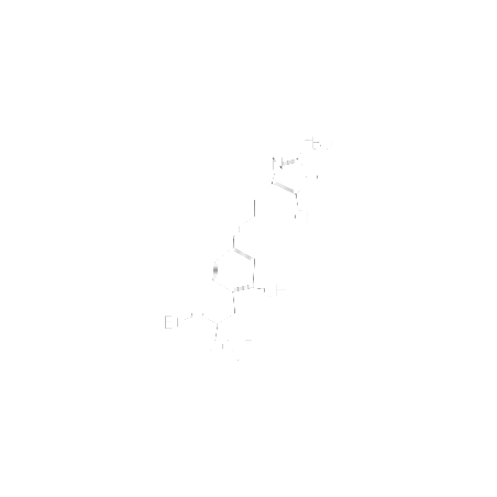 CCOC(=O)C(Cc1ccc(OCCc2nc(C(C)(C)C)oc2C)cc1C)OCC